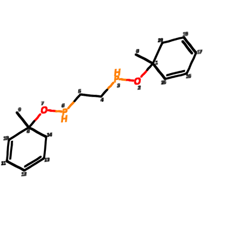 CC1(OPCCPOC2(C)C=CC=CC2)C=CC=CC1